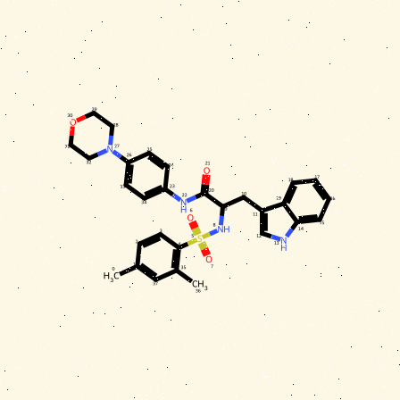 Cc1ccc(S(=O)(=O)NC(Cc2c[nH]c3ccccc23)C(=O)Nc2ccc(N3CCOCC3)cc2)c(C)c1